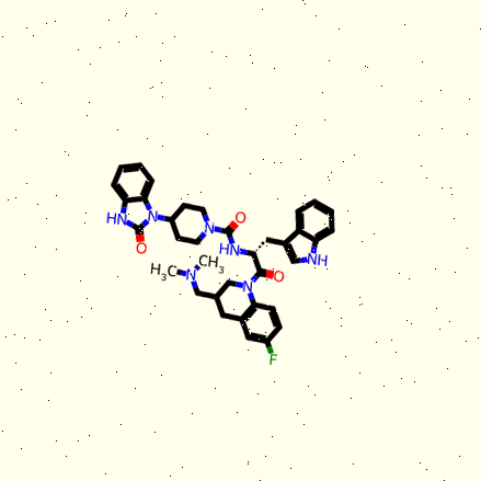 CN(C)CC1Cc2cc(F)ccc2N(C(=O)[C@@H](Cc2c[nH]c3ccccc23)NC(=O)N2CCC(n3c(=O)[nH]c4ccccc43)CC2)C1